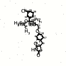 CC(C)C[C@H](COc1ccc(CC2SC(=O)NC2=O)cc1)NC[C@](O[SiH](C)C)(c1cccc(Cl)c1)C(C)(C)C